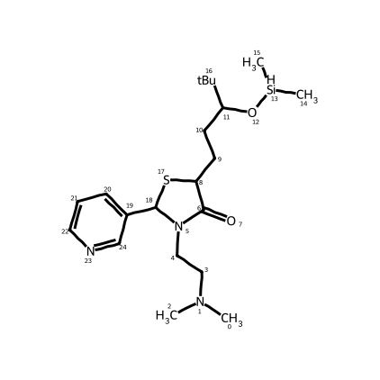 CN(C)CCN1C(=O)C(CCC(O[SiH](C)C)C(C)(C)C)SC1c1cccnc1